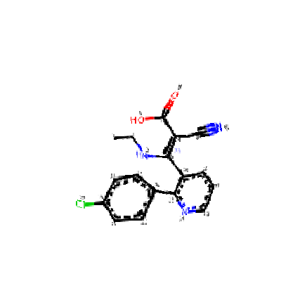 CCN/C(=C(/C#N)C(=O)O)c1cccnc1-c1ccc(Cl)cc1